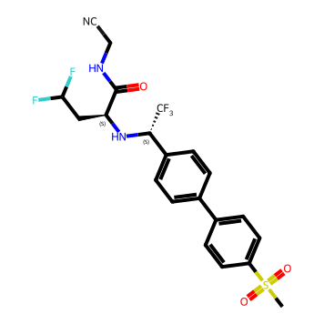 CS(=O)(=O)c1ccc(-c2ccc([C@H](N[C@@H](CC(F)F)C(=O)NCC#N)C(F)(F)F)cc2)cc1